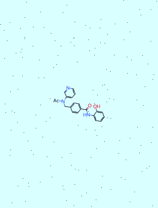 CC(=O)N(Cc1ccc(C(=O)Nc2ccccc2O)cc1)c1cccnc1